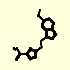 COc1ccc2ncn(CCn3c[c]c(C(N)=O)n3)c2c1